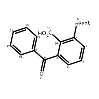 CCCCCc1cccc(C(=O)c2ccccc2)c1C(=O)O